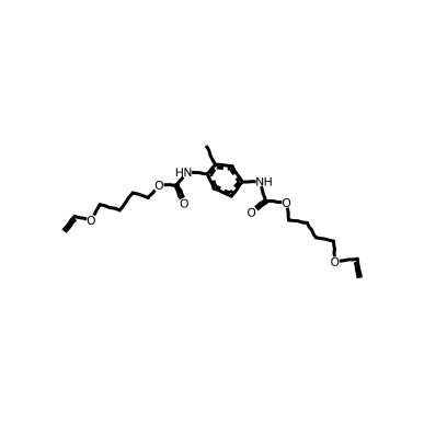 C=COCCCCOC(=O)Nc1ccc(NC(=O)OCCCCOC=C)c(C)c1